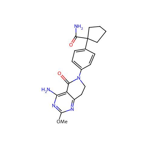 COc1nc(N)c2c(n1)CCN(c1ccc(C3(C(N)=O)CCCC3)cc1)C2=O